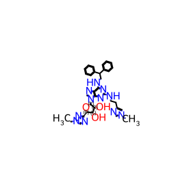 CCn1cnc([C@H]2O[C@@H](n3cnc4c(NCC(c5ccccc5)c5ccccc5)nc(NCCc5cn(C)cn5)nc43)[C@H](O)[C@@H]2O)n1